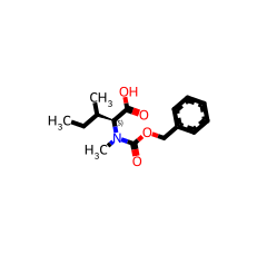 CCC(C)[C@@H](C(=O)O)N(C)C(=O)OCc1ccccc1